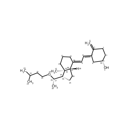 C=C1CC[C@H](O)CC1=CC=C1CCC[C@]2(C)[C@@H]([C@H](C)OCCC(C)C)CC[C@@H]12